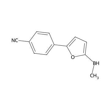 CBc1ccc(-c2ccc(C#N)cc2)o1